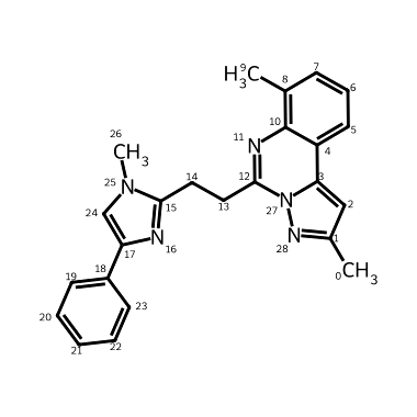 Cc1cc2c3cccc(C)c3nc(CCc3nc(-c4ccccc4)cn3C)n2n1